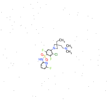 CCC1(CCN(C)C)CN(c2cc(F)c(S(=O)(=O)Nc3cccc(F)n3)c(F)c2Cl)C1